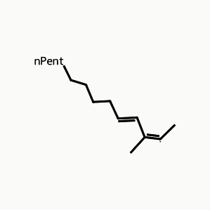 C/[C]=C(C)\C=C\CCCCCCCCC